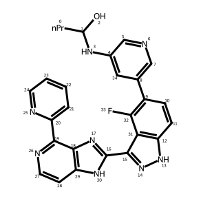 CCCC(O)Nc1cncc(-c2ccc3[nH]nc(-c4nc5c(-c6ccccn6)nccc5[nH]4)c3c2F)c1